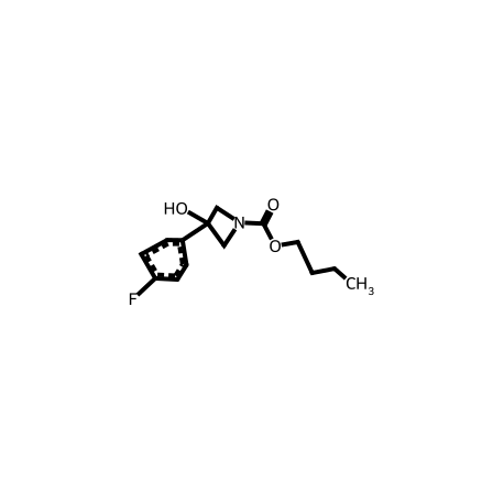 CCCCOC(=O)N1CC(O)(c2ccc(F)cc2)C1